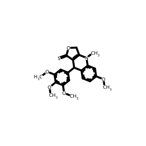 COc1ccc2c(c1)N(C)C1=C(C(=S)OC1)C2c1cc(OC)c(OC)c(OC)c1